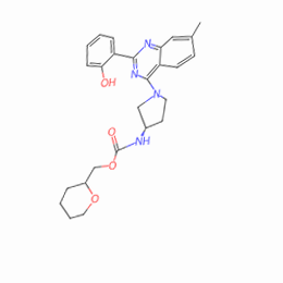 Cc1ccc2c(N3CC[C@@H](NC(=O)OCC4CCCCO4)C3)nc(-c3ccccc3O)nc2c1